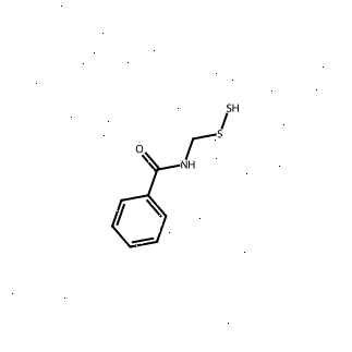 O=C(NCSS)c1ccccc1